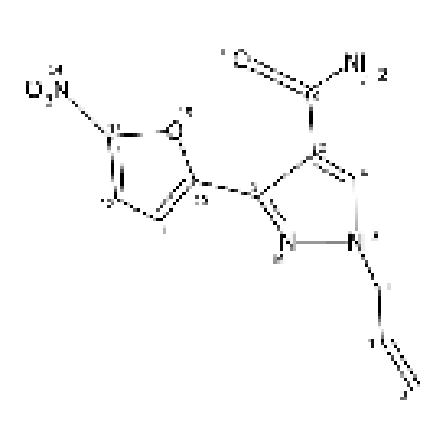 C=CCn1cc(C(N)=O)c(-c2ccc([N+](=O)[O-])o2)n1